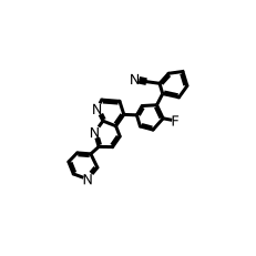 N#Cc1ccccc1-c1cc(-c2ccnc3nc(-c4cccnc4)ccc23)ccc1F